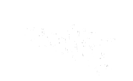 CN(C)C(CC(N)=O)n1c([C@@H](Cc2cc(Br)c(N)c(Br)c2)NC(=O)N2CCC(N3CCc4ccccc4NC3=O)CC2)nc2cc(C(=O)O)ccc21